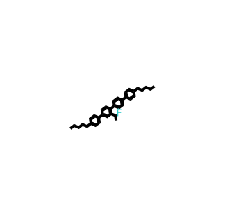 CCCCCc1ccc(-c2ccc(-c3ccc(-c4ccc(CCCCC)cc4)cc3CC)c(F)c2)cc1